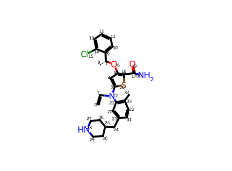 C=CN(c1cc(O[C@H](C)c2ccccc2Cl)c(C(N)=O)s1)c1cc(CC2CCNCC2)ccc1C